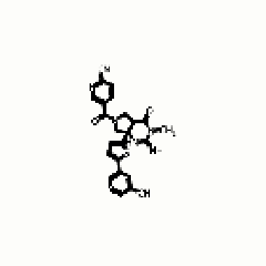 Cc1cncc(-c2ccc(C34CN(C(=O)c5ccc(C#N)nc5)CC3C(=O)N(C)C(=N)N4)s2)c1